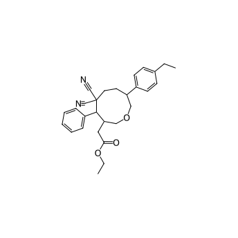 CCOC(=O)CC1COCC(c2ccc(CC)cc2)CCC(C#N)(C#N)C1c1ccccc1